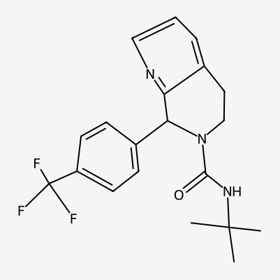 CC(C)(C)NC(=O)N1CCc2cccnc2C1c1ccc(C(F)(F)F)cc1